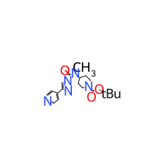 CN(C(=O)n1cnc(-c2ccncc2)c1)C1CCN(C(=O)OC(C)(C)C)CC1